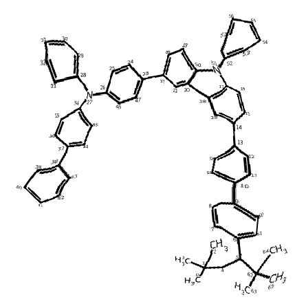 CC(C)(C)CC(c1ccc(-c2ccc(-c3ccc4c(c3)c3cc(-c5ccc(N(c6ccccc6)c6ccc(-c7ccccc7)cc6)cc5)ccc3n4-c3ccccc3)cc2)cc1)C(C)(C)C